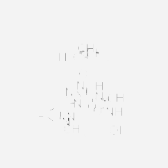 C[C@@H](NC(=O)c1cn(COCC[Si](C)(C)C)c2ncc(-c3nn(C)c4cc(F)ccc34)nc12)C(=O)NCCO